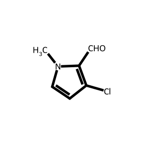 Cn1ccc(Cl)c1C=O